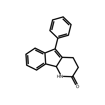 O=C1CCC2=C(c3ccccc3)c3ccccc3C2N1